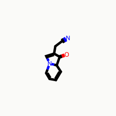 N#CCC1=CN2C=CC=CC2C1=O